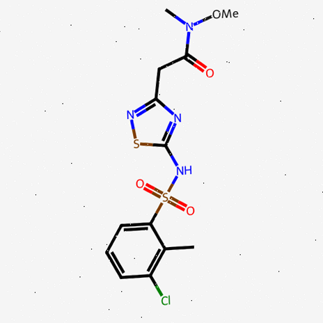 CON(C)C(=O)Cc1nsc(NS(=O)(=O)c2cccc(Cl)c2C)n1